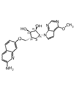 COc1ncnc2c1ccn2[C@@H]1S[C@H](COc2ccc3ccc(N)nc3c2)[C@@H](O)[C@H]1O